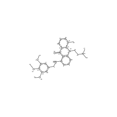 COc1cc(CNc2cccc3c2c(=O)c2cccc(C)c2n3CCN(C)C)cc(OC)c1OC